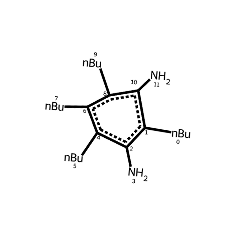 CCCCc1c(N)c(CCCC)c(CCCC)c(CCCC)c1N